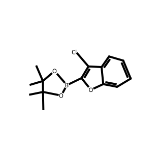 CC1(C)OB(c2oc3ccccc3c2Cl)OC1(C)C